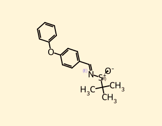 CC(C)(C)[S@+]([O-])/N=C/c1ccc(Oc2ccccc2)cc1